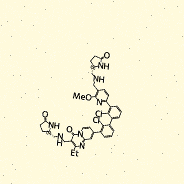 CCc1nc2cc(-c3cccc(-c4cccc(-c5ccc(CNC[C@@H]6CCC(=O)N6)c(OC)n5)c4Cl)c3Cl)ccn2c(=O)c1CNC[C@@H]1CCC(=O)N1